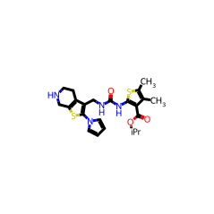 Cc1sc(NC(=O)NCc2c(-n3cccc3)sc3c2CCNC3)c(C(=O)OC(C)C)c1C